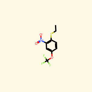 CCSc1ccc(OC(F)(F)F)cc1[N+](=O)[O-]